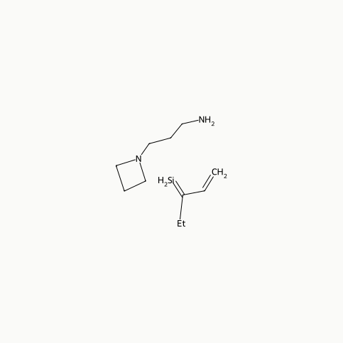 C=CC(=[SiH2])CC.NCCCN1CCC1